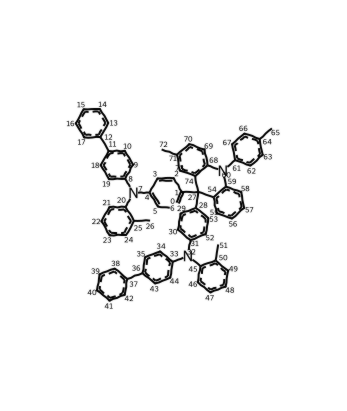 C=C(/C=C\C(=C/C)N(c1ccc(-c2ccccc2)cc1)c1ccccc1C)C1(c2ccc(N(c3ccc(-c4ccccc4)cc3)c3ccccc3C)cc2)c2ccccc2N(c2ccc(C)cc2)c2ccc(C)cc21